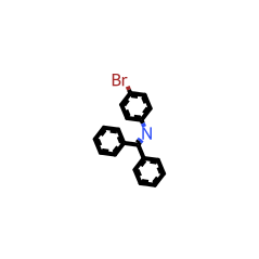 Brc1ccc(N=C(c2ccccc2)c2ccccc2)cc1